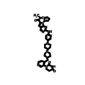 CN(C)C(=O)c1cc2cnc(Nc3ccc(N4CCC(N5CCN(Cc6ccncc6N6CCC(=O)NC6=O)CC5)CC4)cn3)nc2n1C1CCCC1